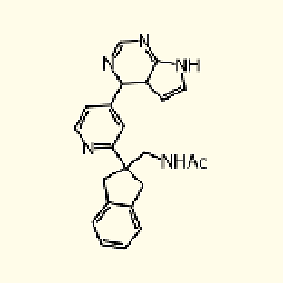 CC(=O)NCC1(c2cc(C3N=CN=C4NC=CC43)ccn2)Cc2ccccc2C1